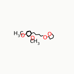 COc1ccc(CCCCCOC2CCCCO2)c(OC)c1